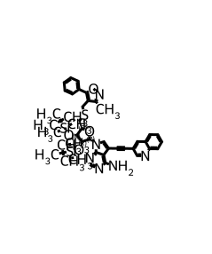 Cc1noc(-c2ccccc2)c1CSC[C@H]1O[C@@H](n2cc(C#Cc3cnc4ccccc4c3)c3c(N)ncnc32)[C@H](O[Si](C)(C)C(C)(C)C)[C@@H]1O[Si](C)(C)C(C)(C)C